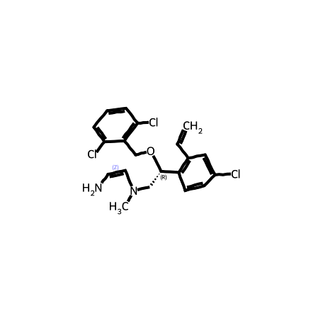 C=Cc1cc(Cl)ccc1[C@H](CN(C)/C=C\N)OCc1c(Cl)cccc1Cl